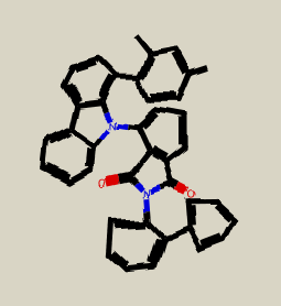 Cc1ccc(-c2cccc3c4ccccc4n(-c4cccc5c4C(=O)N(c4ccccc4-c4ccccc4)C5=O)c23)c(C)c1